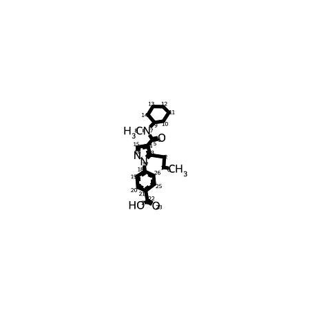 CCCc1c(C(=O)N(C)C2CCCCC2)cnn1-c1ccc(C(=O)O)cc1